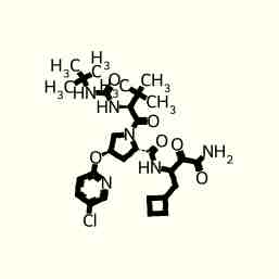 CC(C)(C)NC(=O)N[C@H](C(=O)N1C[C@H](Oc2ccc(Cl)cn2)C[C@H]1C(=O)NC(CC1CCC1)C(=O)C(N)=O)C(C)(C)C